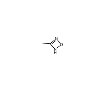 Cc1no[nH]1